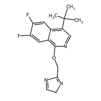 CC(C)(C)c1cnc(OCC2=NCC=N2)c2cc(F)c(F)cc12